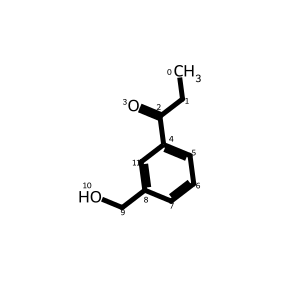 CCC(=O)c1cccc(CO)c1